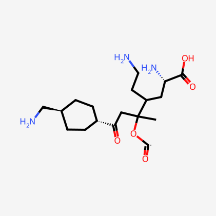 CC(CC(=O)[C@H]1CC[C@H](CN)CC1)(O[C]=O)C(CCN)C[C@H](N)C(=O)O